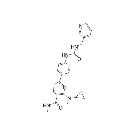 CNC(=O)c1ccc(-c2ccc(NC(=O)NCc3cccnc3)cc2)nc1N(C)C1CC1